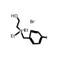 CC[N+](CC)(CCO)Cc1ccc(I)cc1.[Br-]